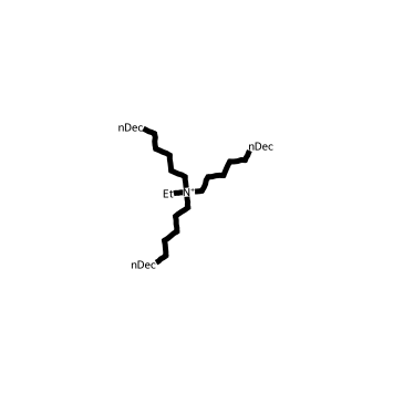 CCCCCCCCCCCCCCC[N+](CC)(CCCCCCCCCCCCCCC)CCCCCCCCCCCCCCC